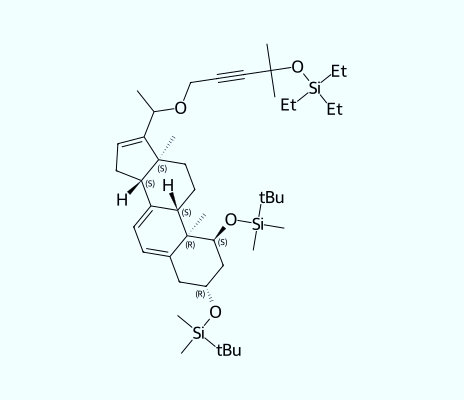 CC[Si](CC)(CC)OC(C)(C)C#CCOC(C)C1=CC[C@H]2C3=CC=C4C[C@@H](O[Si](C)(C)C(C)(C)C)C[C@H](O[Si](C)(C)C(C)(C)C)[C@]4(C)[C@H]3CC[C@]12C